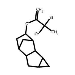 C=C(OC1CC2CC1C1C3CC3CC21)C(C)(CC)C(C)C